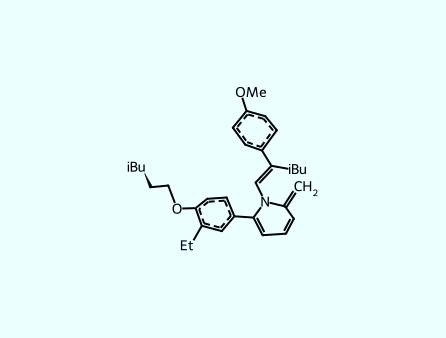 C=C1C=CC=C(c2ccc(OCC[C@H](C)CC)c(CC)c2)N1/C=C(/c1ccc(OC)cc1)C(C)CC